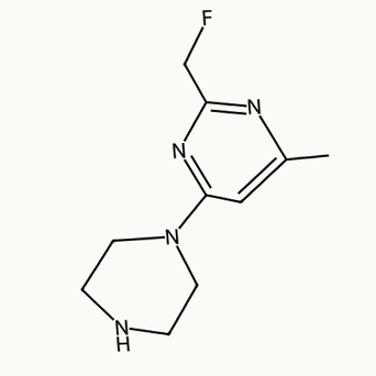 Cc1cc(N2CCNCC2)nc(CF)n1